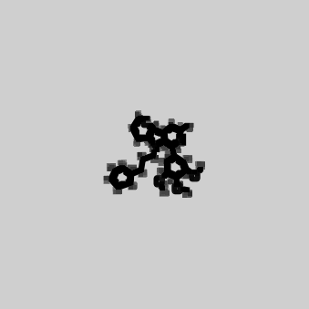 [CH2]c1cc2c3ccccc3n(CCCc3ccccc3)c2c(-c2cc(OC)c(OC)c(OC)c2)n1